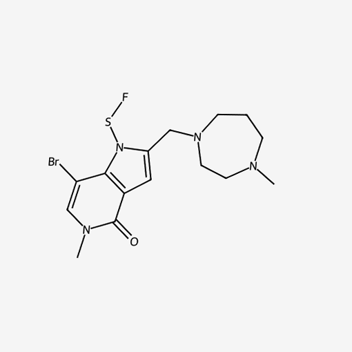 CN1CCCN(Cc2cc3c(=O)n(C)cc(Br)c3n2SF)CC1